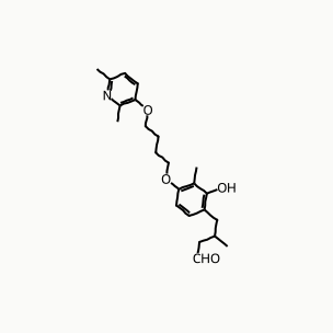 Cc1ccc(OCCCCOc2ccc(CC(C)CC=O)c(O)c2C)c(C)n1